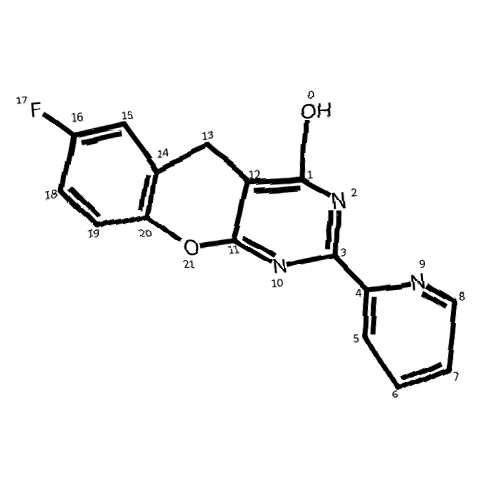 Oc1nc(-c2ccccn2)nc2c1Cc1cc(F)ccc1O2